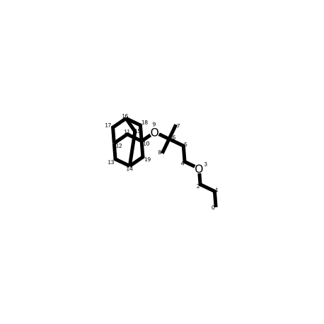 CCCOCCC(C)(C)OC12CC3CC(CC(C3)C1)C2